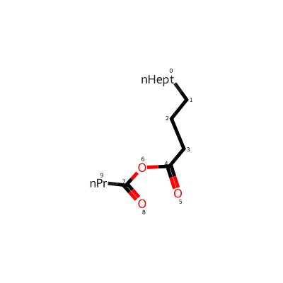 CCCCCCCCCCC(=O)OC(=O)CCC